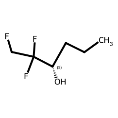 CCC[C@H](O)C(F)(F)CF